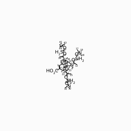 CCC(C=C(C)C(=O)O)[Si](O[Si](C)(C)C(C)O[SiH2]O[Si](C)(C)C)(O[Si](C)(C)C(C)O[SiH2]O[Si](C)(C)C)O[Si](C)(C)C(C)O[SiH2]O[Si](C)(C)C